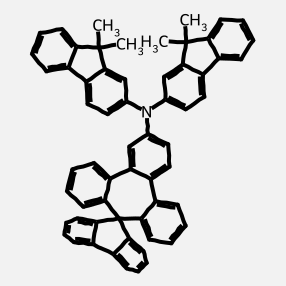 CC1(C)c2ccccc2-c2ccc(N(c3ccc4c(c3)-c3ccccc3C3(c5ccccc5-4)c4ccccc4-c4ccccc43)c3ccc4c(c3)C(C)(C)c3ccccc3-4)cc21